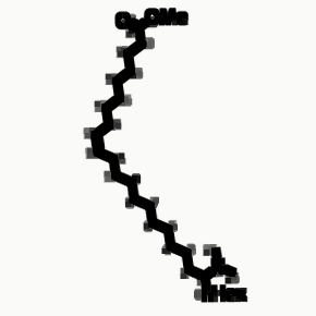 CCCCCCC(CCCCCCCCCC/C=C\CCCCCCCC(=O)OC)N(C)C